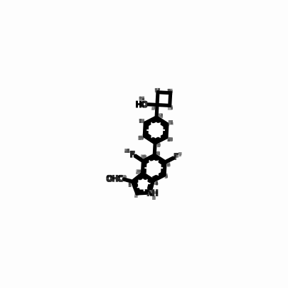 O=Cc1c[nH]c2cc(F)c(-c3ccc(C4(O)CCC4)cc3)c(F)c12